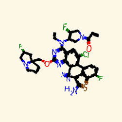 C=CC(=O)N1CC(F)C(N(CC)c2nc(OCC34CCCN3CC(F)C4)nc3c(C#N)c(-c4ccc(F)c5sc(N)c(C#N)c45)c(Cl)cc23)C1